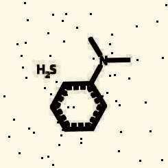 CN(C)c1ccccc1.S